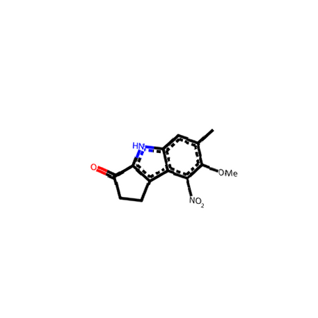 COc1c(C)cc2[nH]c3c(c2c1[N+](=O)[O-])CCC3=O